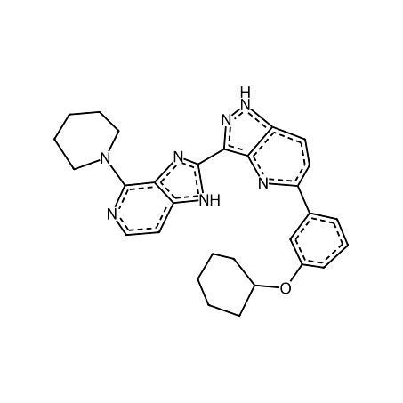 c1cc(OC2CCCCC2)cc(-c2ccc3[nH]nc(-c4nc5c(N6CCCCC6)nccc5[nH]4)c3n2)c1